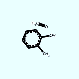 C=O.Cc1ccccc1O